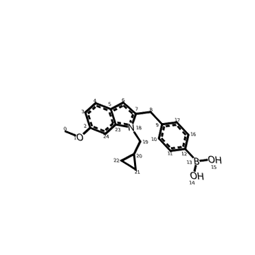 COc1ccc2cc(Cc3ccc(B(O)O)cc3)n(CC3CC3)c2c1